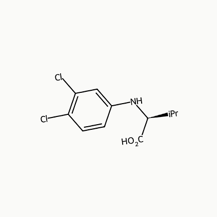 CC(C)[C@H](Nc1ccc(Cl)c(Cl)c1)C(=O)O